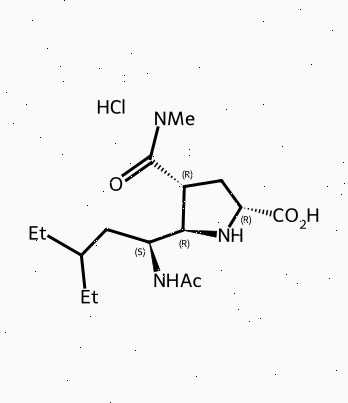 CCC(CC)C[C@H](NC(C)=O)[C@@H]1N[C@@H](C(=O)O)C[C@H]1C(=O)NC.Cl